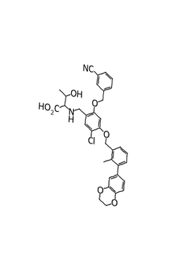 Cc1c(COc2cc(OCc3cccc(C#N)c3)c(CNC(C(=O)O)C(C)O)cc2Cl)cccc1-c1ccc2c(c1)OCCO2